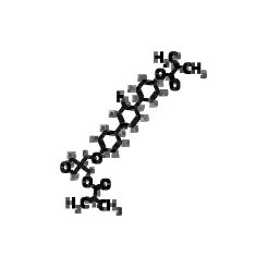 C=C(C)C(=O)OCC1(COc2ccc(-c3ccc(-c4ccc(OC(=O)C(=C)C)cc4)c(F)c3)cc2)COC1